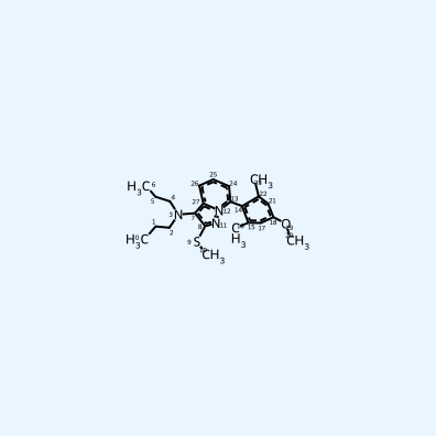 CCCN(CCC)c1c(SC)nn2c(-c3c(C)cc(OC)cc3C)cccc12